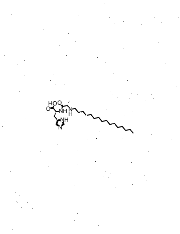 CCCCCCCCCCCCCCCCN[C@@H](C)C(=O)N[C@@H](Cc1cnc[nH]1)C(=O)O